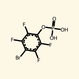 O=P(O)(O)Oc1c(F)c(F)c(Br)c(F)c1F